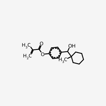 C=C(C)C(=O)Oc1ccc(C(O)C2(C)CCCCC2)cc1